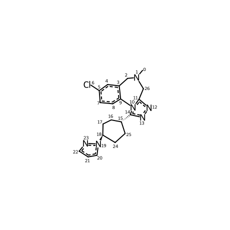 CN1Cc2cc(Cl)ccc2-n2c(nnc2[C@H]2CC[C@H](n3cccn3)CC2)C1